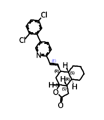 O=C1C[C@H]2[C@@H]3CCCC[C@H]3[C@H](/C=C/c3ccc(-c4cc(Cl)ccc4Cl)cn3)C[C@H]2O1